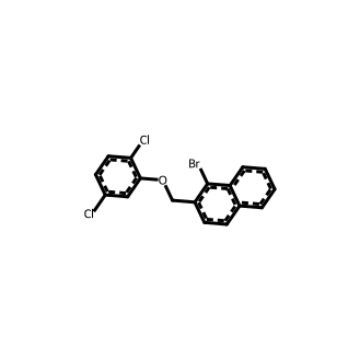 Clc1ccc(Cl)c(OCc2ccc3ccccc3c2Br)c1